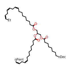 CC/C=C\C/C=C\C/C=C\CCCCCCCC(=O)OCC(COC(=O)CCCCCCCCCCCCCCCCC)OC(=O)CCCCCCC/C=C\C/C=C\CCCCC